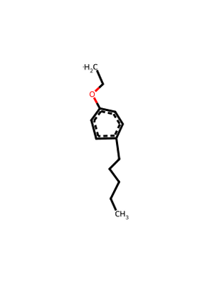 [CH2]COc1ccc(CCCCC)cc1